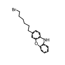 BrCCCCCCc1ccc2c(c1)Oc1ccccc1N2